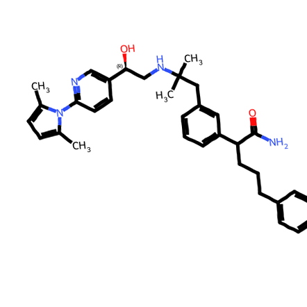 Cc1ccc(C)n1-c1ccc([C@@H](O)CNC(C)(C)Cc2cccc(C(CCCc3ccccc3)C(N)=O)c2)cn1